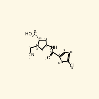 N#CCN1CC(NC(=O)c2ccc(Cl)s2)C[C@H]1C(=O)O